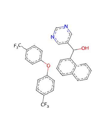 FC(F)(F)c1ccc(Oc2ccc(C(F)(F)F)cc2)cc1.OC(c1cncnc1)c1cccc2ccccc12